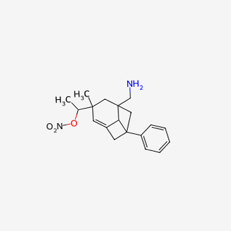 CC(O[N+](=O)[O-])C1(C)C=C2CC3(c4ccccc4)CC(CN)(C1)C23